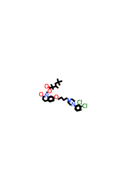 CC(CC(C)(C)C)C(C)(C)C(=O)OCN1C(=O)CCc2ccc(OCCCCN3CCN(c4cccc(Cl)c4Cl)CC3)cc21